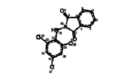 O=C1c2ccccc2C(=O)N1Nc1c(Cl)cc(Cl)cc1Cl